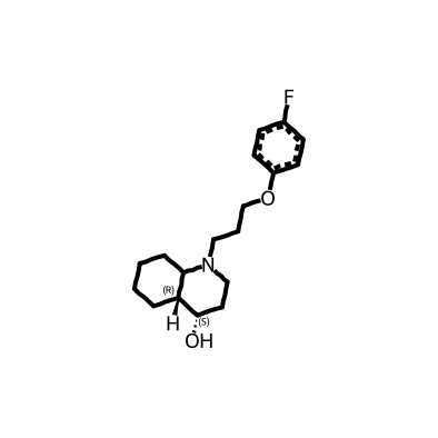 O[C@H]1CCN(CCCOc2ccc(F)cc2)C2CCCC[C@H]21